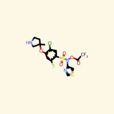 CC1(Oc2cc(F)c(S(=O)(=O)N(OC(=O)C(F)(F)F)c3cscn3)cc2Cl)CCNC1